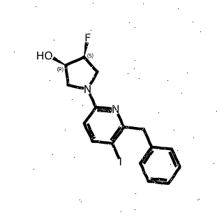 O[C@@H]1CN(c2ccc(I)c(Cc3ccccc3)n2)C[C@@H]1F